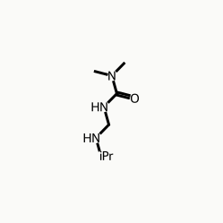 CC(C)NCNC(=O)N(C)C